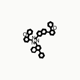 C1=Cc2c(-c3nc(-c4ccc5ccc(-c6cccc7oc8ccccc8c67)cc5c4)nc(-c4cccc5oc6ccccc6c45)n3)ccc(-c3ccccc3)c2CC1